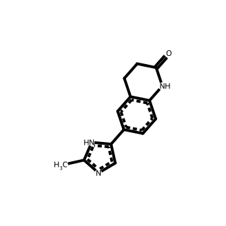 Cc1ncc(-c2ccc3c(c2)CCC(=O)N3)[nH]1